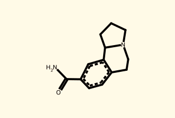 NC(=O)c1ccc2c(c1)C1CCCN1CC2